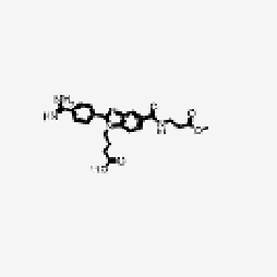 COC(=O)CCNC(=O)c1ccc2c(c1)nc(-c1ccc(C(=N)N)cc1)n2CCCC(=O)O